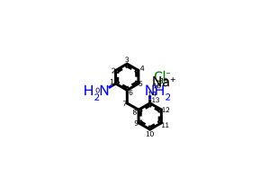 Nc1ccccc1Cc1ccccc1N.[Cl-].[Na+]